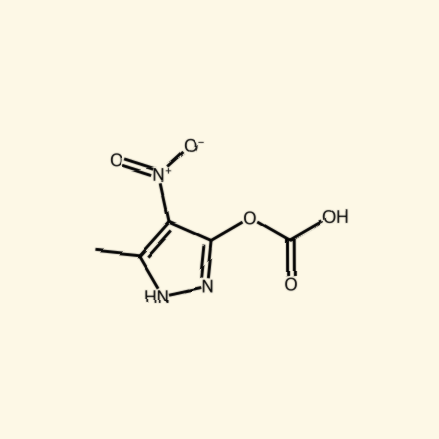 Cc1[nH]nc(OC(=O)O)c1[N+](=O)[O-]